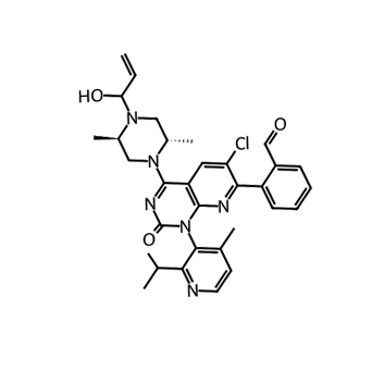 C=CC(O)N1C[C@H](C)N(c2nc(=O)n(-c3c(C)ccnc3C(C)C)c3nc(-c4ccccc4C=O)c(Cl)cc23)C[C@H]1C